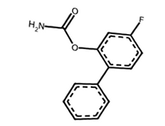 NC(=O)Oc1cc(F)ccc1-c1ccccc1